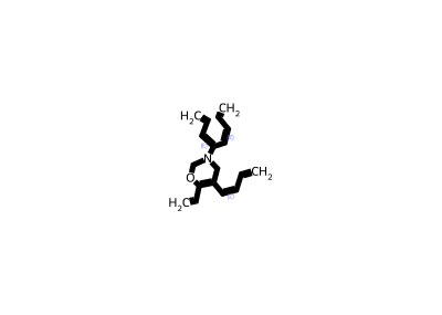 C=C/C=C\C1=C(C=C)OCN(C(/C=C\C=C)=C/C=C)C1